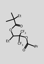 CCC(OC(=O)C(C)(C)CC)C(OC(=O)C(C)C)(C(F)(F)F)C(F)(F)F